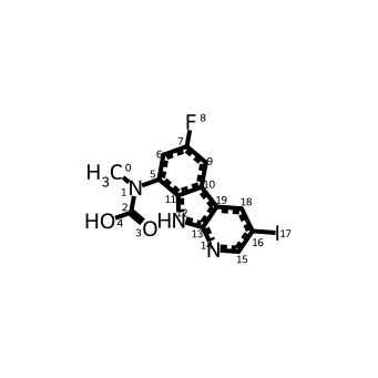 CN(C(=O)O)c1cc(F)cc2c1[nH]c1ncc(I)cc12